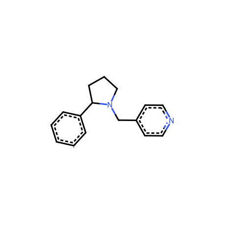 [c]1cccc(C2CCCN2Cc2ccncc2)c1